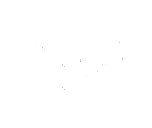 C=CC(=O)N1CC2(CCN(c3nc4c(c(-c5ccccc5F)c3C#N)CO[C@@H](c3scnc3C)C4)C2)C1